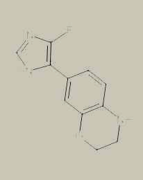 Fc1nc[nH]c1-c1ccc2c(c1)OCCN2